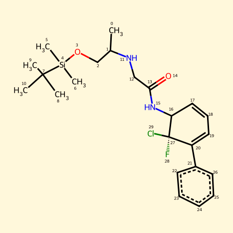 CC(CO[Si](C)(C)C(C)(C)C)NCC(=O)NC1C=CC=C(c2ccccc2)[C@@]1(F)Cl